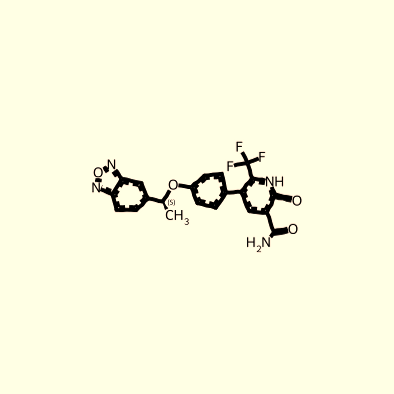 C[C@H](Oc1ccc(-c2cc(C(N)=O)c(=O)[nH]c2C(F)(F)F)cc1)c1ccc2nonc2c1